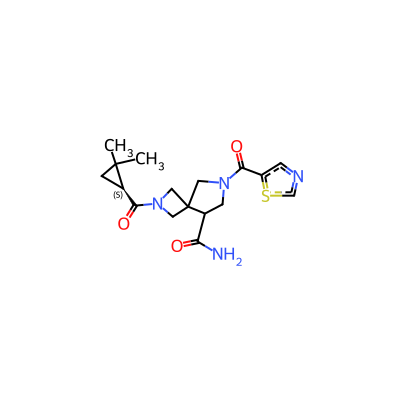 CC1(C)C[C@@H]1C(=O)N1CC2(CN(C(=O)c3cncs3)CC2C(N)=O)C1